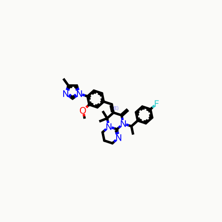 C=C1/C(=C/c2ccc(-n3cnc(C)c3)c(OC)c2)C(C)(C)N2CCCN=C2N1C(C)c1ccc(F)cc1